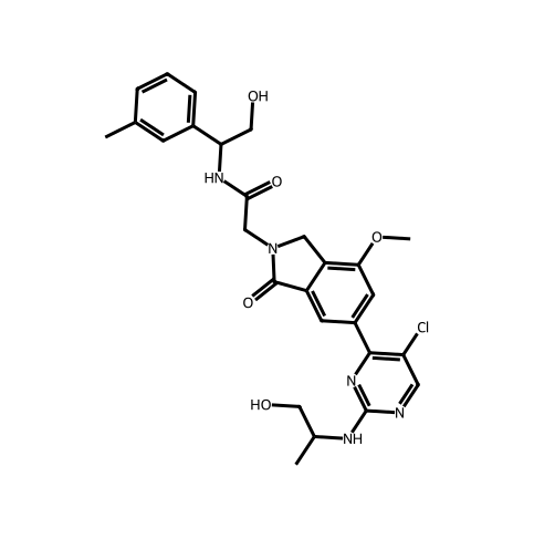 COc1cc(-c2nc(NC(C)CO)ncc2Cl)cc2c1CN(CC(=O)NC(CO)c1cccc(C)c1)C2=O